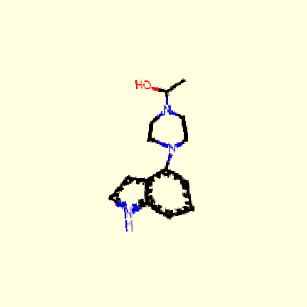 C[C](O)N1CCN(c2cccc3[nH]ccc23)CC1